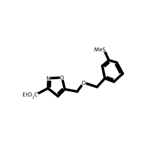 CCOC(=O)c1cc(COCc2cccc(SC)c2)on1